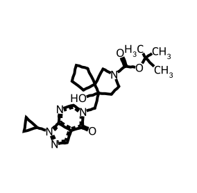 CC(C)(C)OC(=O)N1CCC(O)(Cn2cnc3c(cnn3C3CC3)c2=O)C2(CCCC2)C1